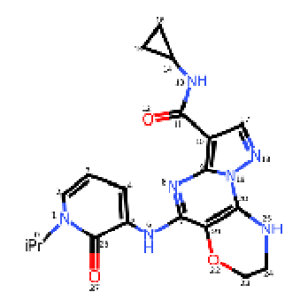 CC(C)n1cccc(Nc2nc3c(C(=O)NC4CC4)cnn3c3c2OCCN3)c1=O